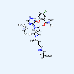 CCN(C(=O)c1cc(F)ccc1Oc1nncnc1N1CCC2(C1)CN(C(CCCNCC(C)(C)OC)C(C)C)C2)C(C)C.O=C(O)/C=C/C(=O)O